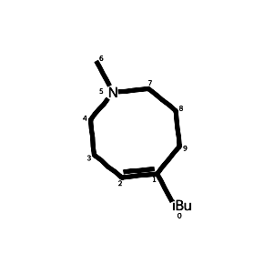 CCC(C)/C1=C/CCN(C)CCC1